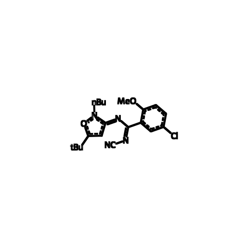 CCCCn1oc(C(C)(C)C)cc1=NC(=NC#N)c1cc(Cl)ccc1OC